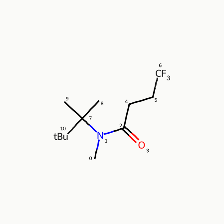 CN(C(=O)CCC(F)(F)F)C(C)(C)C(C)(C)C